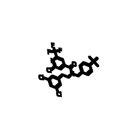 CC(C)(C)c1ccc(CN(CCc2cc(Cl)cc(Cl)c2)C(=O)c2cc(Cl)nc(C(F)(F)F)c2)cc1